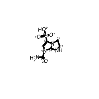 NC(=O)N1C=C(S(=O)(=O)O)N2CCNC12